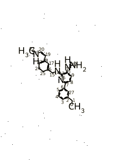 CCc1cccc(-c2ccc(NN)c(NCC3=CC(/C=C\NC)=CCC3)n2)c1